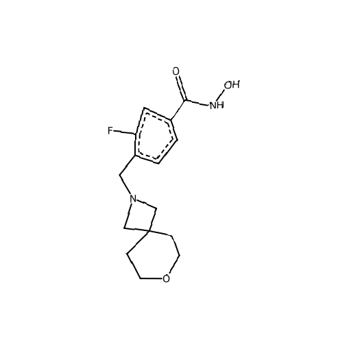 O=C(NO)c1ccc(CN2CC3(CCOCC3)C2)c(F)c1